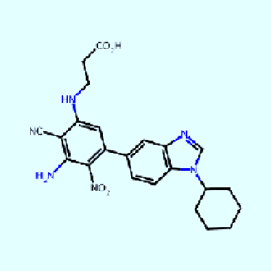 N#Cc1c(NCCC(=O)O)cc(-c2ccc3c(c2)ncn3C2CCCCC2)c([N+](=O)[O-])c1N